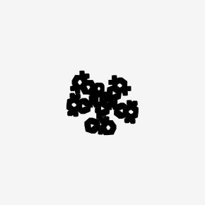 CC1(C)CCC(C)(C)c2cc(N3c4cc5c(cc4B4c6oc7cc8c(cc7c6N(c6ccc7c(c6)C(C)(C)CCC7(C)C)c6cc(N7c9ccccc9C9(C)CCCCC79C)cc3c64)C(C)(C)CCC8(C)C)C(C)(C)CCC5(C)C)ccc21